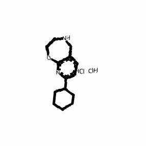 Cl.Cl.c1cc2c(nc1C1CCCCC1)OCCNC2